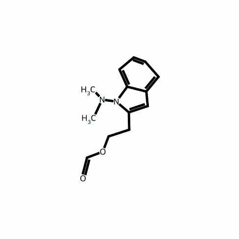 CN(C)n1c(CCOC=O)cc2ccccc21